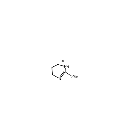 CSC1=NCCCN1.I